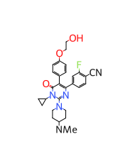 CNC1CCN(c2nc(-c3ccc(C#N)c(F)c3)c(-c3ccc(OCCO)cc3)c(=O)n2C2CC2)CC1